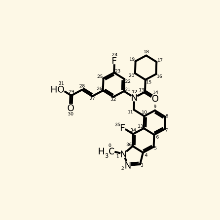 Cn1ncc2cc3cccc(CN(C(=O)C4CCCCC4)c4cc(F)cc(C=CC(=O)O)c4)c3c(F)c21